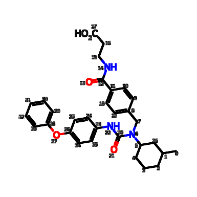 CC1CCCC(N(Cc2ccc(C(=O)NCCC(=O)O)cc2)C(=O)Nc2ccc(Oc3ccccc3)cc2)C1